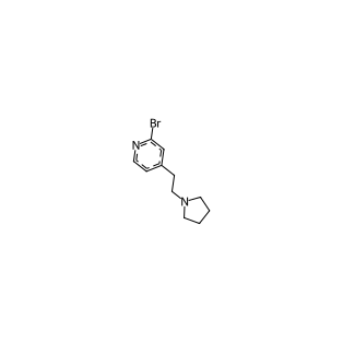 Brc1cc(CCN2CCCC2)ccn1